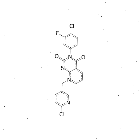 O=c1nc2n(Cc3ccc(Cl)nc3)cccc-2c(=O)n1-c1ccc(Cl)c(F)c1